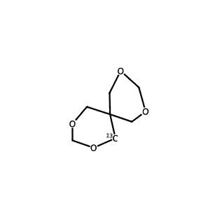 C1OCC2(CO1)COCO[13CH2]2